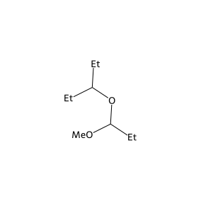 CCC(CC)OC(CC)OC